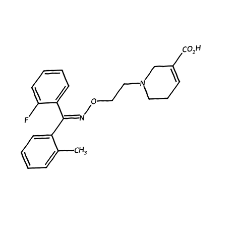 Cc1ccccc1C(=NOCCN1CCC=C(C(=O)O)C1)c1ccccc1F